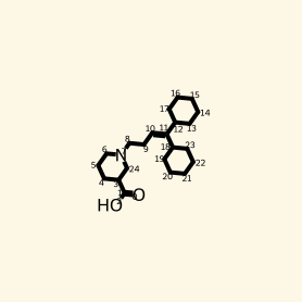 O=C(O)C1CCCN(CCC=C(C2CCCCC2)C2CCCCC2)C1